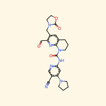 N#Cc1cnc(NC(=O)N2CCCc3cc(CN4CCOC4=O)c(C=O)nc32)cc1N1CCCC1